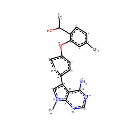 CCC(O)c1ccc(C(F)(F)F)cc1Oc1ccc(-c2cn(C(C)C)c3ncnc(N)c23)cc1